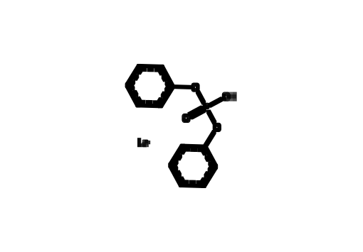 O=P(O)(Oc1ccccc1)Oc1ccccc1.[La]